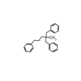 CC(C[CH]Cc1ccccc1)(Cc1ccccc1)Cc1ccccc1